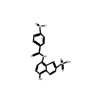 O=C(Nc1ccc(O)c2ccc(S(=O)(=O)O)cc12)c1ccc([N+](=O)[O-])cc1